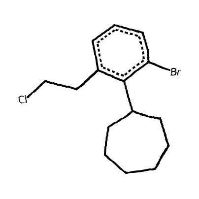 ClCCc1cccc(Br)c1C1CCCCCC1